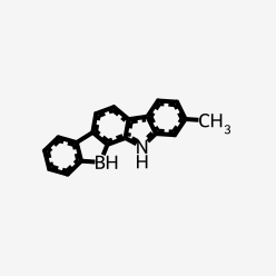 Cc1ccc2c(c1)[nH]c1c3c(ccc12)-c1ccccc1B3